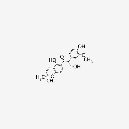 COc1cc(C(CO)C(=O)c2ccc3c(c2O)C=CC(C)(C)O3)ccc1O